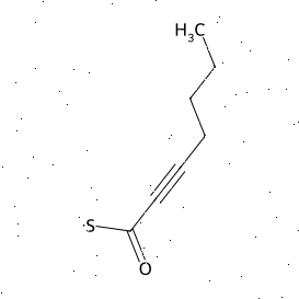 CCCCC#CC(=O)[S]